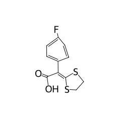 O=C(O)C(=C1SCCS1)c1ccc(F)cc1